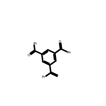 C=C(c1cc(C(=O)C(C)C)cc(C(=O)C(C)C)c1)C(C)C